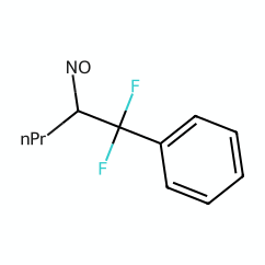 CCCC(N=O)C(F)(F)c1ccccc1